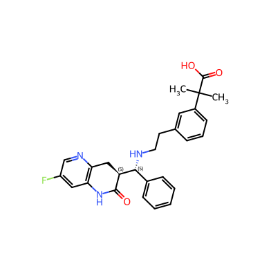 CC(C)(C(=O)O)c1cccc(CCN[C@H](c2ccccc2)[C@@H]2Cc3ncc(F)cc3NC2=O)c1